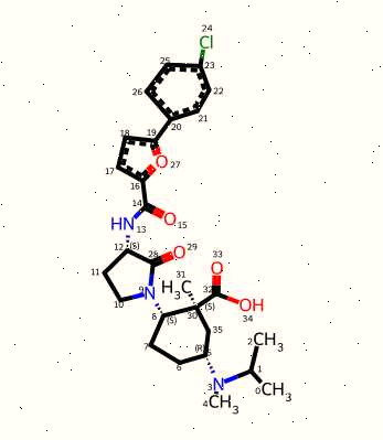 CC(C)N(C)[C@@H]1CC[C@H](N2CC[C@H](NC(=O)c3ccc(-c4ccc(Cl)cc4)o3)C2=O)[C@@](C)(C(=O)O)C1